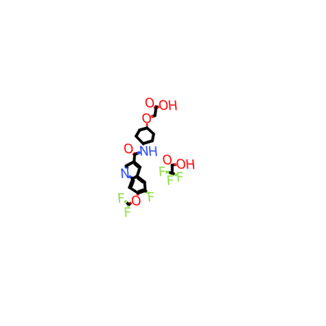 O=C(O)C(F)(F)F.O=C(O)CO[C@H]1CC[C@H](NC(=O)c2cnc3cc(OC(F)F)c(F)cc3c2)CC1